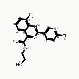 O=C(NCCO)c1nc(-c2ccc(Cl)nc2)nc2c(Cl)cccc12